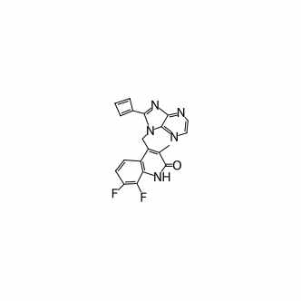 Cc1c(Cn2c(C3=CC=C3)nc3nccnc32)c2ccc(F)c(F)c2[nH]c1=O